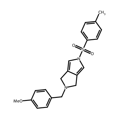 COc1ccc(CN2Cc3cn(S(=O)(=O)c4ccc(C)cc4)cc3C2)cc1